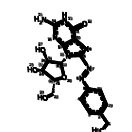 CCc1ccc(N=Nc2nc3c(=O)[nH]c(N)nc3n2[C@@H]2O[C@H](CO)[C@@H](O)[C@H]2O)cc1